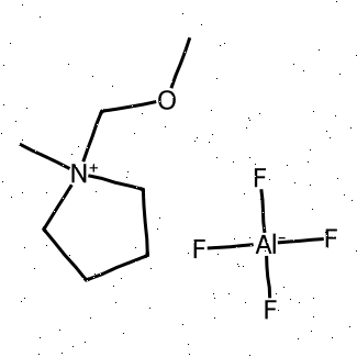 COC[N+]1(C)CCCC1.[F][Al-]([F])([F])[F]